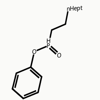 CCCCCCCCC[PH](=O)Oc1ccccc1